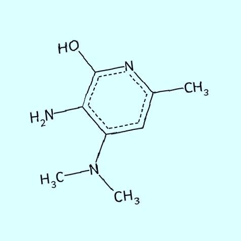 Cc1cc(N(C)C)c(N)c(O)n1